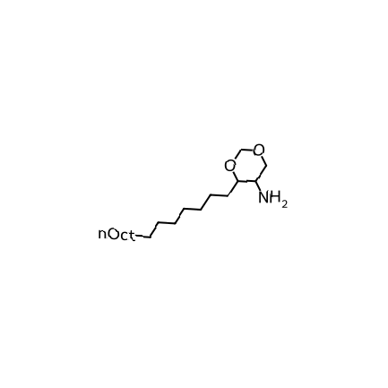 CCCCCCCCCCCCCCCC1OCOCC1N